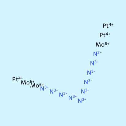 [Mo+6].[Mo+6].[Mo+6].[N-3].[N-3].[N-3].[N-3].[N-3].[N-3].[N-3].[N-3].[N-3].[N-3].[Pt+4].[Pt+4].[Pt+4]